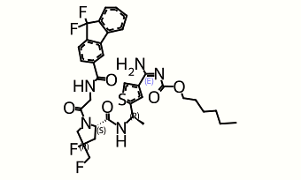 CCCCCCOC(=O)/N=C(/N)c1csc([C@@H](C)NC(=O)[C@@H]2C[C@](F)(CF)CN2C(=O)CNC(=O)c2ccc3c(c2)-c2ccccc2C3(F)F)c1